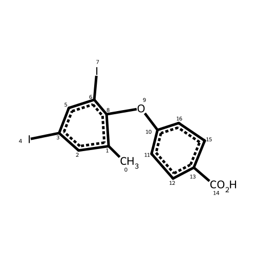 Cc1cc(I)cc(I)c1Oc1ccc(C(=O)O)cc1